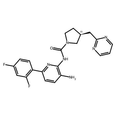 Nc1ccc(-c2ccc(F)cc2F)nc1NC(=O)N1CC[C@@H](Cc2ncccn2)C1